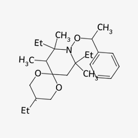 CC[C]1COC2(CC(C)(CC)N(OC(C)c3ccccc3)C(C)(CC)C2C)OC1